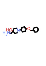 NCC1(O)CCN(c2ccc(OCc3ccccc3)cc2)CC1